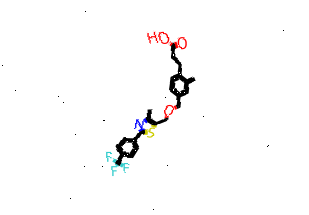 Cc1cc(COCc2sc(-c3ccc(C(F)(F)F)cc3)nc2C)ccc1CCC(=O)O